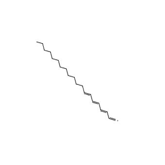 [CH]=CC=CC=CC=CCCCCCCCCCCCC